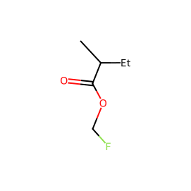 CCC(C)C(=O)OCF